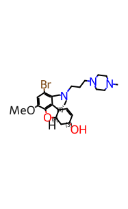 COc1cc(Br)c2c3c1O[C@@H]1C[C@H](O)C=C[C@]31CCN(CCCN1CCN(C)CC1)C2